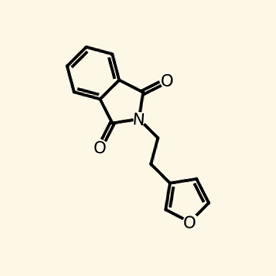 O=C1c2ccccc2C(=O)N1CCc1ccoc1